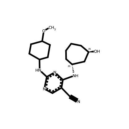 COC1CCC(Nc2ncc(C#N)c(N[C@@H]3CCCC[C@@H](O)C3)n2)CC1